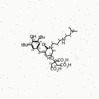 CN(C)CCNCCCN1CCSC(Cc2cc(C(C)(C)C)c(O)c(C(C)(C)C)c2)C1=O.O=C(O)CC(O)(CC(=O)O)C(=O)O